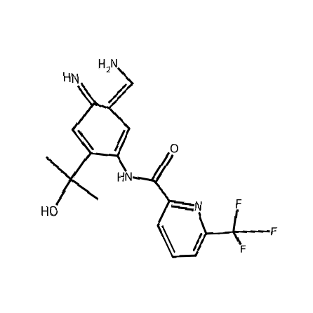 CC(C)(O)C1=CC(=N)/C(=C\N)C=C1NC(=O)c1cccc(C(F)(F)F)n1